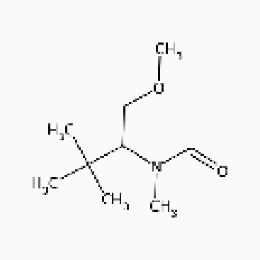 COCC(N(C)C=O)C(C)(C)C